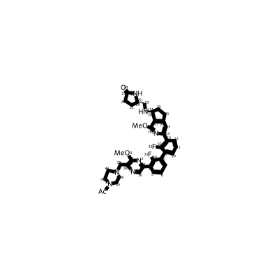 COc1nc(-c2cccc(-c3cccc(-c4cc5c(c(OC)n4)[C@@H](NC[C@@H]4CCC(=O)N4)CC5)c3F)c2F)cnc1CN1CCN(C(C)=O)CC1